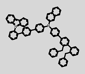 c1ccc(Cc2ccccc2-c2ccc(-c3ccc(N(c4ccc(-c5ccc(-c6ccccc6-n6c7ccccc7c7ccccc76)cc5)cc4)c4ccc5ccccc5c4)cc3)cc2Cc2ccccc2)cc1